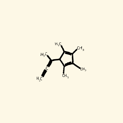 C=C=C(C)C1C(C)=C(C)C(C)=C1C